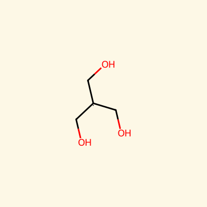 OC[C](CO)CO